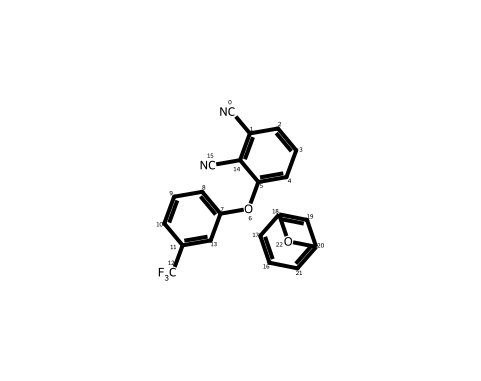 N#Cc1cccc(Oc2cccc(C(F)(F)F)c2)c1C#N.c1cc2cc(c1)O2